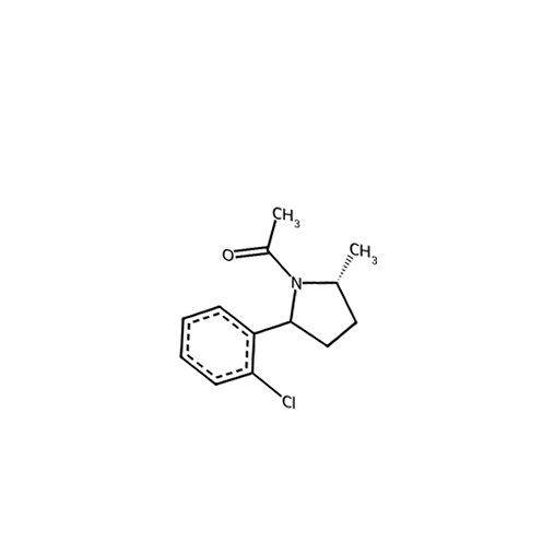 CC(=O)N1C(c2ccccc2Cl)CC[C@H]1C